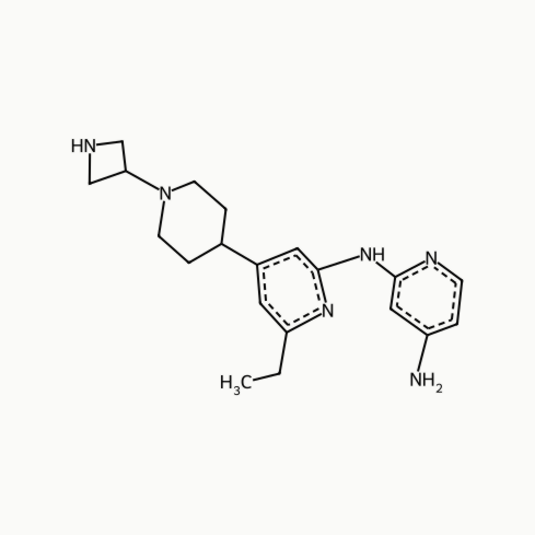 CCc1cc(C2CCN(C3CNC3)CC2)cc(Nc2cc(N)ccn2)n1